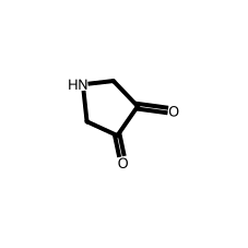 O=C1CNCC1=O